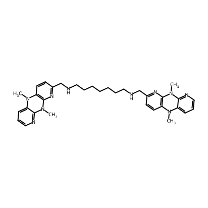 CN1c2cccnc2N(C)c2nc(CNCCCCCCCNCc3ccc4c(n3)N(C)c3ncccc3N4C)ccc21